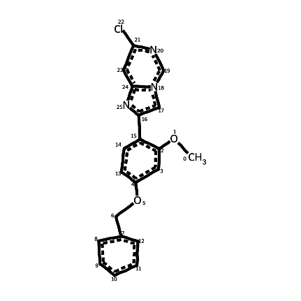 COc1cc(OCc2ccccc2)ccc1-c1cn2cnc(Cl)cc2n1